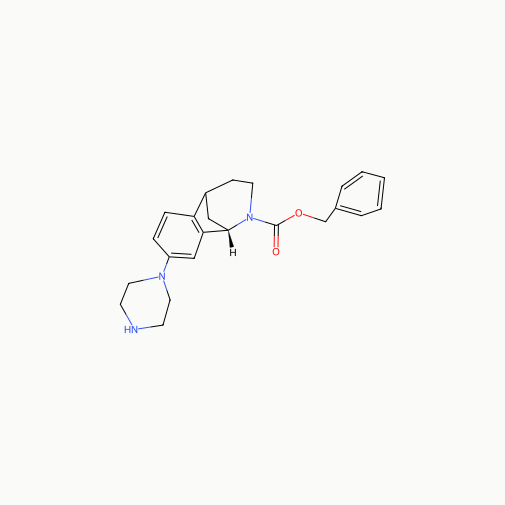 O=C(OCc1ccccc1)N1CCC2C[C@H]1c1cc(N3CCNCC3)ccc12